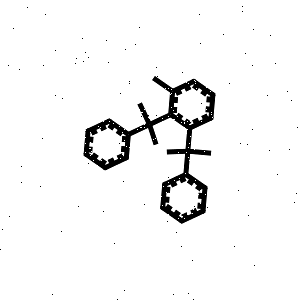 Cc1cccc(C(C)(C)c2ccccc2)c1C(C)(C)c1ccccc1